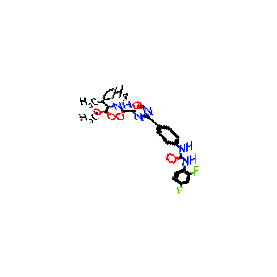 COC(=O)C(NC(=O)c1nc(-c2ccc(NC(=O)Nc3ccc(F)cc3F)cc2)no1)C(C)C